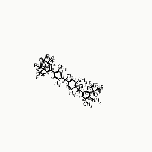 Cc1cc(C(C)(C)c2ccc(C(C)(C)c3cc(C)c(N)c(C(O)(C(F)(F)F)C(F)(F)F)c3)c(C)c2)ccc1/C(=C/C(O)(C(F)(F)F)C(F)(F)F)CC(O)(C(F)(F)F)C(F)(F)F